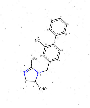 CCCCC1=NCC(C=O)N1Cc1ccc(-c2ccccc2)c(C#N)c1